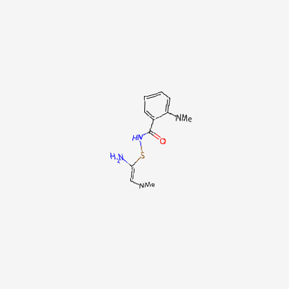 CN/C=C(/N)SNC(=O)c1ccccc1NC